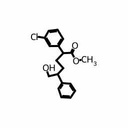 COC(=O)C(CCC(CO)c1ccccc1)c1cccc(Cl)c1